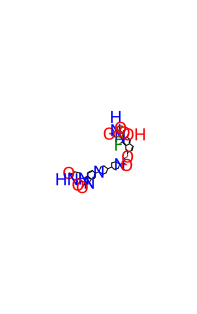 Cn1c(=O)n(C2CCC(=O)NC2=O)c2ccc(N3CCC(C4CCN(C(=O)COc5ccc6cc(O)c(N7CC(=O)NS7(=O)=O)c(F)c6c5)CC4)CC3)cc21